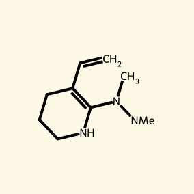 C=CC1=C(N(C)NC)NCCC1